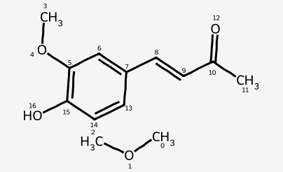 COC.COc1cc(C=CC(C)=O)ccc1O